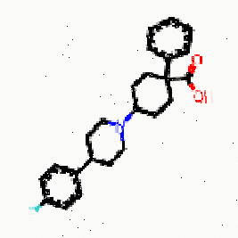 O=C(O)C1(c2ccccc2)CCC(N2CCC(c3ccc(F)cc3)CC2)CC1